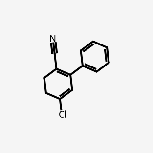 N#CC1=C(c2ccccc2)C=C(Cl)CC1